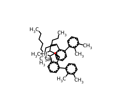 CCCC[CH2][Hf]([CH3])([CH3])(=[SiH2])([CH2]CCCC)([CH]1C=Cc2c(-c3cccc(C)c3C)cccc21)[CH]1C=Cc2c(-c3cccc(C)c3C)cccc21